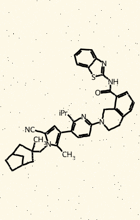 Cc1c(-c2ccc(N3CCc4cccc(C(=O)Nc5nc6ccccc6s5)c4C3)nc2C(C)C)cc(C#N)n1CC1(C)CC2CCC(C2)C1